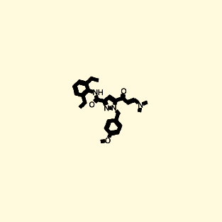 CCc1cccc(CC)c1NC(=O)c1cc(C(=O)C=CN(C)C)n(Cc2ccc(OC)cc2)n1